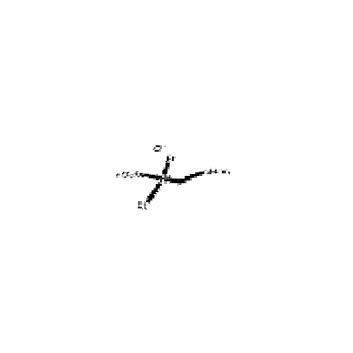 CCCCCCCCCC[N+](CC)(CC)CCCCCCCC.[Cl-]